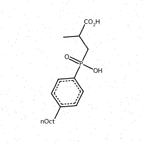 CCCCCCCCc1ccc(P(=O)(O)CC(C)C(=O)O)cc1